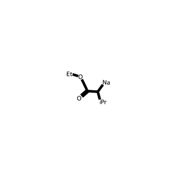 CCOC(=O)[CH]([Na])C(C)C